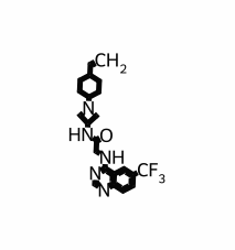 C=CC1CCC(N2CC(NC(=O)CNc3ncnc4ccc(C(F)(F)F)cc34)C2)CC1